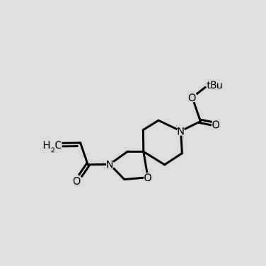 C=CC(=O)N1COC2(CCN(C(=O)OC(C)(C)C)CC2)C1